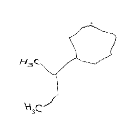 CCC(C)C1C[CH]CCC1